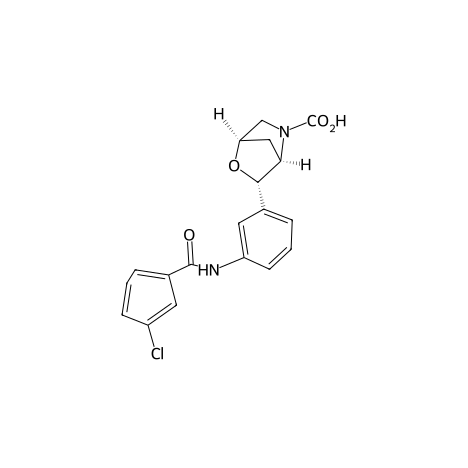 O=C(Nc1cccc([C@@H]2O[C@@H]3C[C@H]2N(C(=O)O)C3)c1)c1cccc(Cl)c1